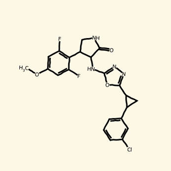 COc1cc(F)c(C2CNC(=O)C2Nc2nnc(C3CC3c3cccc(Cl)c3)o2)c(F)c1